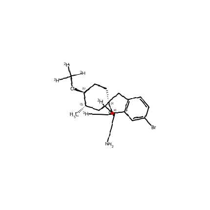 [2H]C([2H])([2H])O[C@H]1CC[C@@]2(Cc3ccc(Br)cc3[C@]23N=C(N)OC3([2H])[2H])C[C@@H]1C